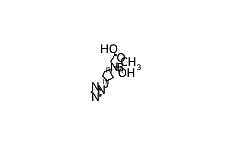 CB(O)N(CC(=O)O)[C@@H]1CC[C@H](Cn2cncn2)C1